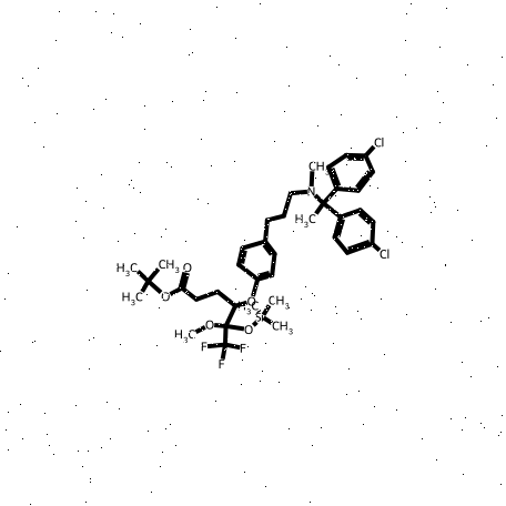 COC(O[Si](C)(C)C)(C(CCC(=O)OC(C)(C)C)Oc1ccc(CCCN(C)C(C)(c2ccc(Cl)cc2)c2ccc(Cl)cc2)cc1)C(F)(F)F